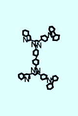 c1ccc2ncc(-c3cc(-c4ccc(-n5c6ccccc6c6ccccc65)cc4)nc(-c4ccc(-c5ccc(-c6nc(-c7ccc(-n8c9ccccc9c9ccccc98)cc7)cc(-c7cnc8ccccc8c7)n6)cc5)cc4)n3)cc2c1